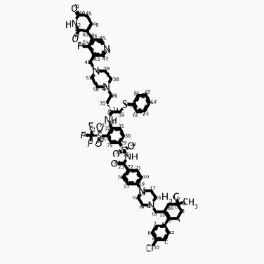 CC1(C)CCC(c2ccc(Cl)cc2)=C(CN2CCN(c3ccc(C(=O)NS(=O)(=O)c4ccc(N[C@H](CCN5CCN(Cc6cncc(C7CCC(=O)NC7=O)c6F)CC5)CSc5ccccc5)c(S(=O)(=O)C(F)(F)F)c4)cc3)CC2)C1